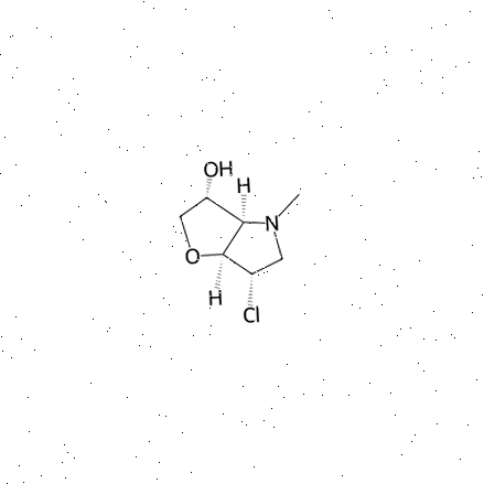 CN1C[C@H](Cl)[C@H]2OC[C@H](O)[C@H]21